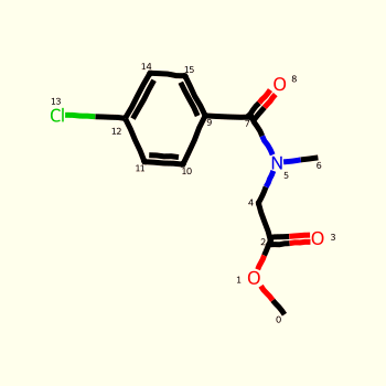 COC(=O)CN(C)C(=O)c1ccc(Cl)cc1